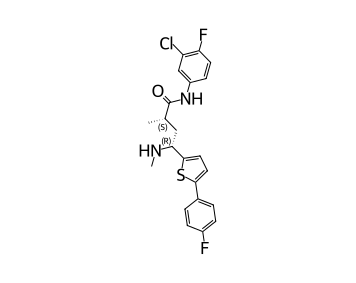 CN[C@H](C[C@H](C)C(=O)Nc1ccc(F)c(Cl)c1)c1ccc(-c2ccc(F)cc2)s1